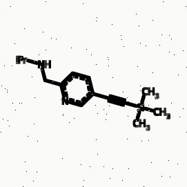 CC(C)NCc1ccc(C#C[Si](C)(C)C)cn1